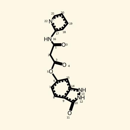 O=C(CC(=O)Oc1ccc2c(=O)[nH][nH]c2c1)Nc1ccccn1